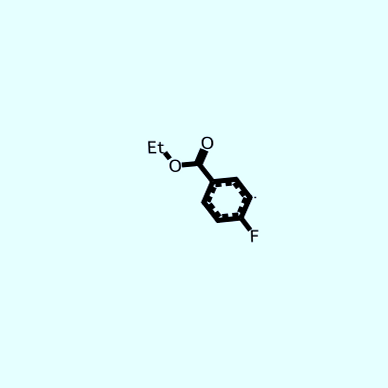 CCOC(=O)c1c[c]c(F)cc1